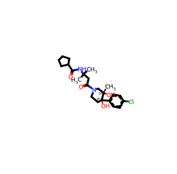 CC(C)(CC(=O)N1CC[C@@](O)(c2ccc(Cl)cc2)[C@@](C)(O)C1)NC(=O)C1CCCC1